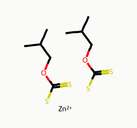 CC(C)COC(=S)[S-].CC(C)COC(=S)[S-].[Zn+2]